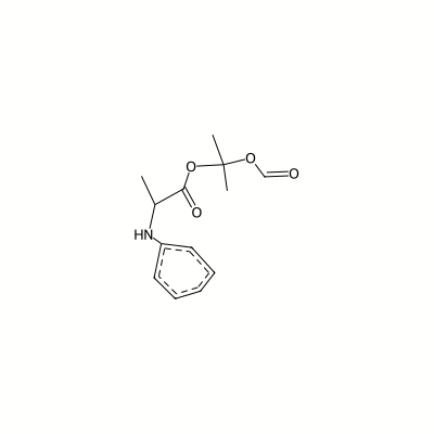 CC(Nc1ccccc1)C(=O)OC(C)(C)OC=O